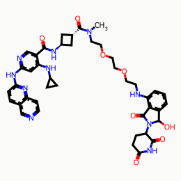 CN(CCOCCOCCNc1cccc2c1C(=O)N(C1CCC(=O)NC1=O)C2O)C(=O)[C@H]1C[C@H](NC(=O)c2cnc(Nc3ccc4cnccc4n3)cc2NC2CC2)C1